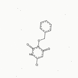 O=c1cc(Cl)[nH]c(=O)n1OCc1ccccc1